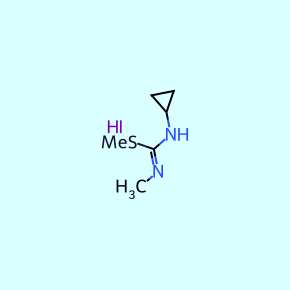 C/N=C(/NC1CC1)SC.I